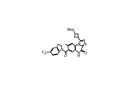 COC1CC(c2nnc3c(=O)[nH]c4cc(C(=O)N5CCc6cc(C(F)(F)F)ccc65)c(C)cc4n23)C1